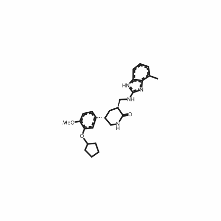 COc1ccc([C@H]2CNC(=O)[C@H](CNc3nc4c(C)cccc4[nH]3)C2)cc1OC1CCCC1